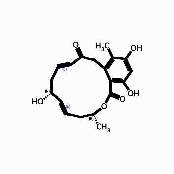 Cc1c(O)cc(O)c2c1CC(=O)/C=C/C[C@@H](O)/C=C/C[C@@H](C)OC2=O